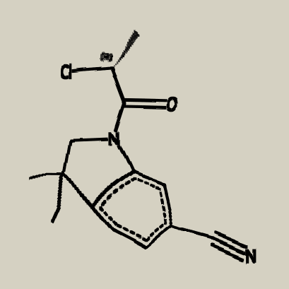 C[C@@H](Cl)C(=O)N1CC(C)(C)c2ccc(C#N)cc21